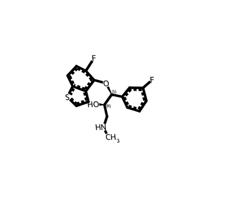 CNC[C@@H](O)[C@@H](Oc1c(F)ccc2sccc12)c1cccc(F)c1